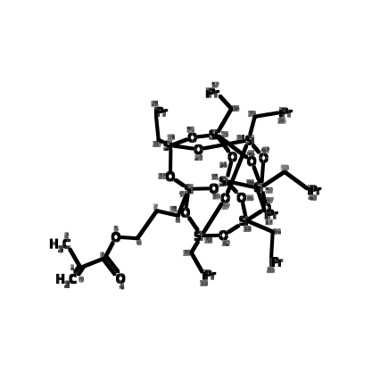 C=C(C)C(=O)OCCC[Si]12O[Si]3(CC(C)C)O[Si]4(CC(C)C)O[Si](CC(C)C)(O1)O[Si]1(CC(C)C)O[Si](CC(C)C)(O2)O[Si](CC(C)C)(O3)O[Si](CC(C)C)(O4)O1